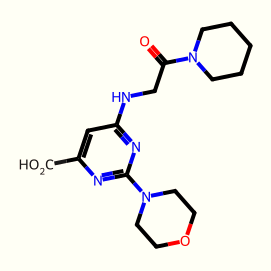 O=C(O)c1cc(NCC(=O)N2CCCCC2)nc(N2CCOCC2)n1